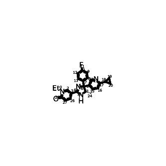 CCn1cc(C2=NC(c3ccc(F)cc3)(c3ccc(C4CC4)nc3)[C@H](C)N2)ccc1=O